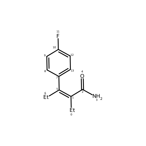 CCC(C(N)=O)=C(CC)c1ccc(F)cc1